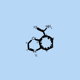 NC(=O)c1cccc2c1OCC=N2